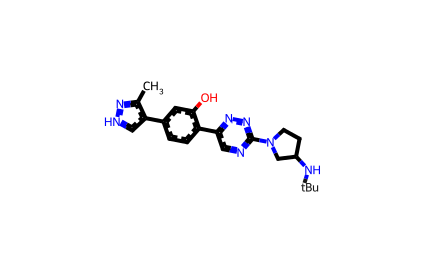 Cc1n[nH]cc1-c1ccc(-c2cnc(N3CCC(NC(C)(C)C)C3)nn2)c(O)c1